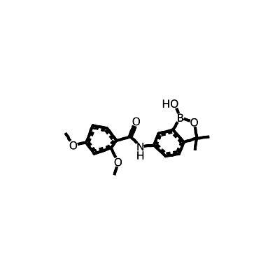 COc1ccc(C(=O)Nc2ccc3c(c2)B(O)OC3(C)C)c(OC)c1